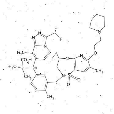 Cc1ccc([C@@H](c2ccn3c(C(F)F)nnc3c2C)C(C)(C)C(=O)O)cc1CN1CC2(CC2)Oc2nc(OCCN3CCCCC3)c(C)cc2S1(=O)=O